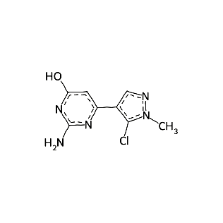 Cn1ncc(-c2cc(O)nc(N)n2)c1Cl